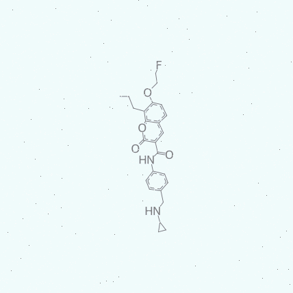 CCCc1c(OCCF)ccc2cc(C(=O)Nc3ccc(CNC4CC4)cc3)c(=O)oc12